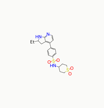 CCC1Cc2c(-c3ccc(S(=O)(=O)NC4CCS(=O)(=O)CC4)cc3)ccnc2N1